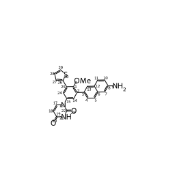 COc1c(-c2ccc3cc(N)ccc3c2)cc(-n2ccc(=O)[nH]c2=O)cc1-c1cccs1